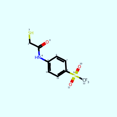 O=C(CS)Nc1ccc(S(=O)(=O)C(F)(F)F)cc1